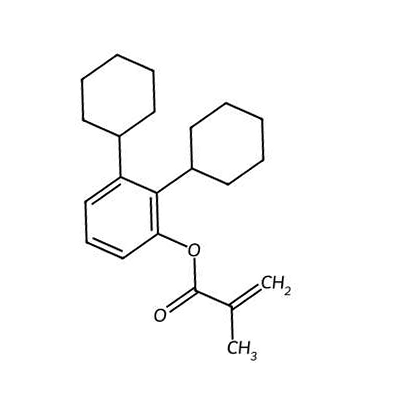 C=C(C)C(=O)Oc1cccc(C2CCCCC2)c1C1CCCCC1